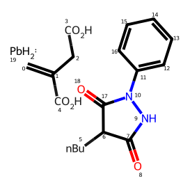 C=C(CC(=O)O)C(=O)O.CCCCC1C(=O)NN(c2ccccc2)C1=O.[PbH2]